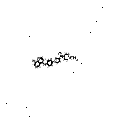 CN1CCN(C(=O)[C@H]2CCN(c3ccc(Oc4ccnc5c(F)cncc45)cc3)C2)CC1